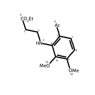 CCOC(=O)CCNc1c(C(C)=O)ccc(OC)c1OC